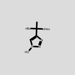 CCCCCCC(C)(CCCC)c1cn(O)nn1